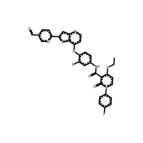 CCOc1ccn(-c2ccc(F)cc2)c(=O)c1C(=O)Nc1ccc(Oc2ccnc3cc(-c4ccc(C=O)cn4)sc23)c(F)c1